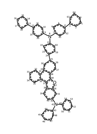 c1ccc(-c2ccc(N(c3ccc(-c4ccccc4)cc3)c3ccc(-c4ccc5c(c4)c4ccccc4c4c6ccc(N(c7ccccc7)c7ccccc7)cc6oc54)cc3)cc2)cc1